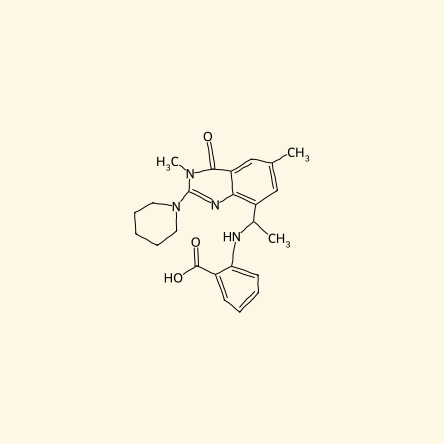 Cc1cc(C(C)Nc2ccccc2C(=O)O)c2nc(N3CCCCC3)n(C)c(=O)c2c1